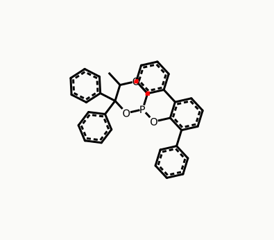 CC1OCP(Oc2c(-c3ccccc3)cccc2-c2ccccc2)OC1(c1ccccc1)c1ccccc1